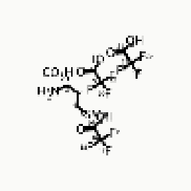 CSCC[C@H](N)C(=O)O.O=C(O)C(F)(F)F.O=C(O)C(F)(F)F.O=C(O)C(F)(F)F